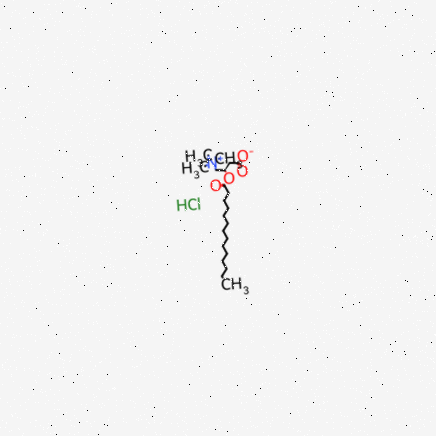 CCCCCCCCCCCCCC(=O)O[C@H](CC(=O)[O-])C[N+](C)(C)C.Cl